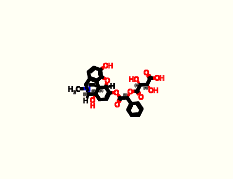 CN1CC[C@@]23c4c5ccc(O)c4O[C@@H]2C(OC(=O)[C@@H](OC(=O)[C@H](O)[C@@H](O)C(=O)O)c2ccccc2)=CC[C@]3(O)[C@@H]1C5